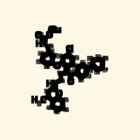 CC(CC(=O)NCCN(C(=O)c1ccc(-c2ccccc2)cc1)c1ccc(Cl)cc1Oc1cccc(CNC(=O)OC(C)(C)C)c1)c1ccccc1